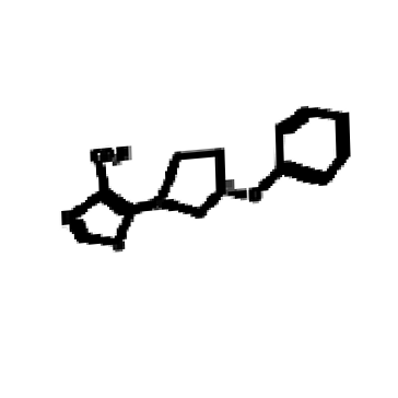 O=C(O)c1ncsc1N1CC[C@H](Oc2ccccc2)C1